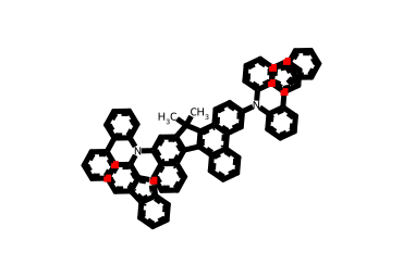 CC1(C)c2cc(N(c3ccccc3-c3ccccc3)c3cccc4c3oc3ccccc34)c3ccccc3c2-c2c1c1ccc(N(c3ccccc3-c3ccccc3)c3cccc4c3oc3ccccc34)cc1c1ccccc21